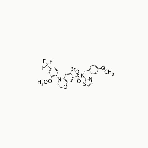 COc1ccc(CN(c2nccs2)S(=O)(=O)c2cc3c(cc2Br)N(c2ccc(C(F)(F)F)cc2OC)CCO3)cc1